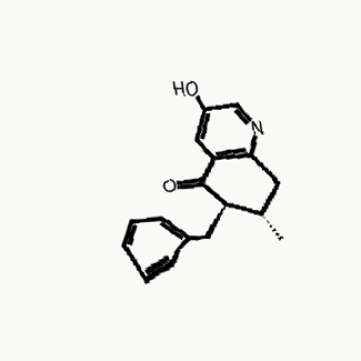 C[C@H]1Cc2ncc(O)cc2C(=O)[C@@H]1Cc1ccccc1